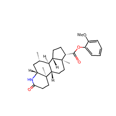 COc1ccccc1OC(=O)[C@H]1CC[C@H]2[C@@H]3[C@@H](C)C[C@H]4NC(=O)CC[C@]4(C)[C@H]3CC[C@]12C